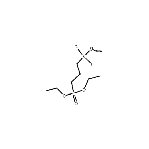 CCOP(=O)(CCC[Si](F)(F)OC)OCC